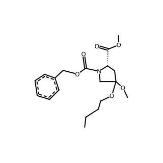 CCCCOC1(OC)C[C@@H](C(=O)OC)N(C(=O)OCc2ccccc2)C1